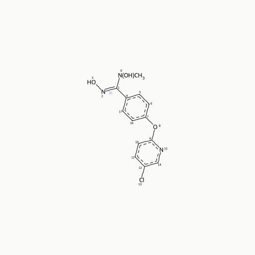 CN(O)/C(=N\O)c1ccc(Oc2ccc(Cl)cn2)cc1